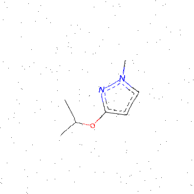 CC(C)Oc1[c]cn(C)n1